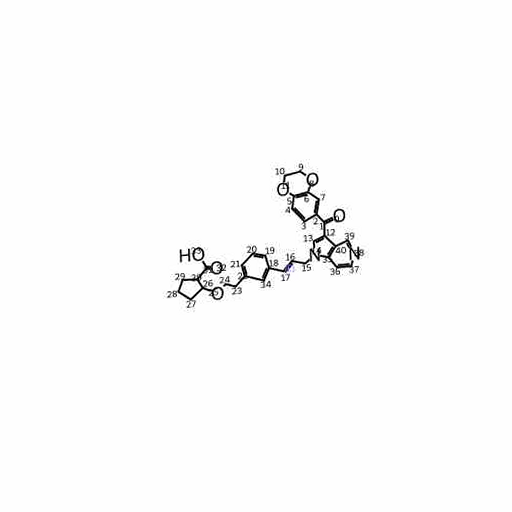 O=C(c1ccc2c(c1)OCCO2)c1cn(C/C=C/c2cccc(CCOC3CCCC3C(=O)O)c2)c2ccncc12